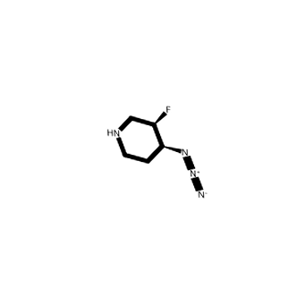 [N-]=[N+]=N[C@H]1CCNC[C@H]1F